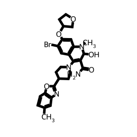 Cc1ccc2oc(C3CCN(C4=C(C(N)=O)C(O)N(C)c5cc(OC6CCOC6)c(Br)cc54)CC3)nc2c1